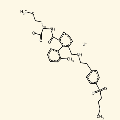 CCCCS(=O)(=O)c1ccc(CCNCc2cccc(C(=O)N[C@@H](CCSC)C(=O)[O-])c2-c2ccccc2C)cc1.[Li+]